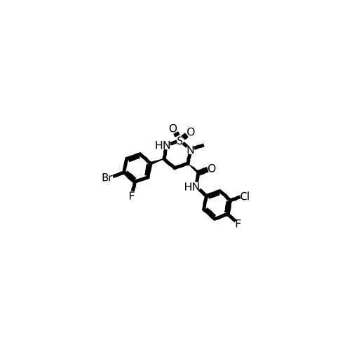 CN1[C@@H](C(=O)Nc2ccc(F)c(Cl)c2)C[C@@H](c2ccc(Br)c(F)c2)NS1(=O)=O